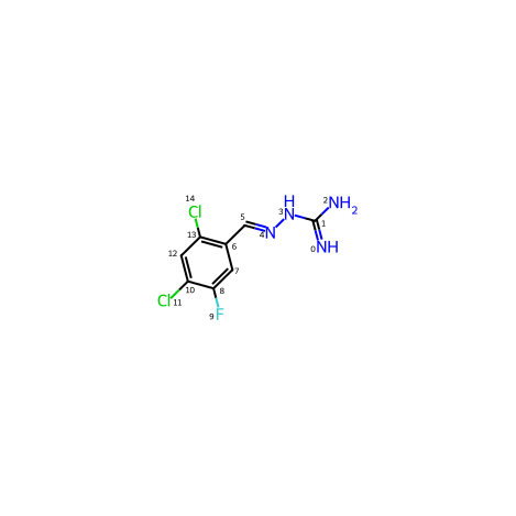 N=C(N)N/N=C/c1cc(F)c(Cl)cc1Cl